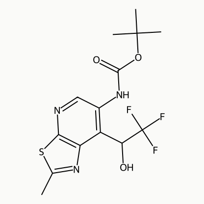 Cc1nc2c(C(O)C(F)(F)F)c(NC(=O)OC(C)(C)C)cnc2s1